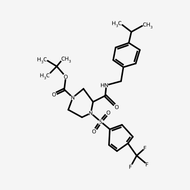 CC(C)c1ccc(CNC(=O)C2CN(C(=O)OC(C)(C)C)CCN2S(=O)(=O)c2ccc(C(F)(F)F)cc2)cc1